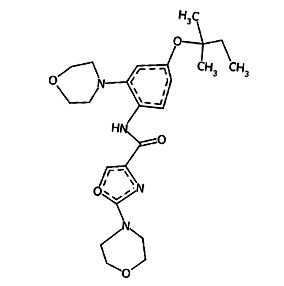 CCC(C)(C)Oc1ccc(NC(=O)c2coc(N3CCOCC3)n2)c(N2CCOCC2)c1